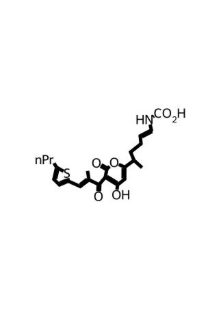 CCCc1ccc(/C=C(\C)C(=O)c2c(O)cc(C(C)CC/C=C/NC(=O)O)oc2=O)s1